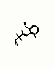 C=Nc1cccc(Cl)c1/C=C(\C)C(C)(C)CS